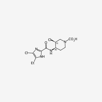 CCc1[nH]c(C(=O)N[C@@H]2CCN(C(=O)O)C[C@@H]2Cl)nc1Cl